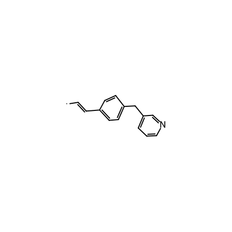 [CH2]/C=C/c1ccc(Cc2cccnc2)cc1